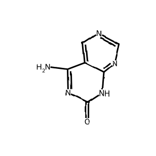 Nc1nc(=O)[nH]c2ncncc12